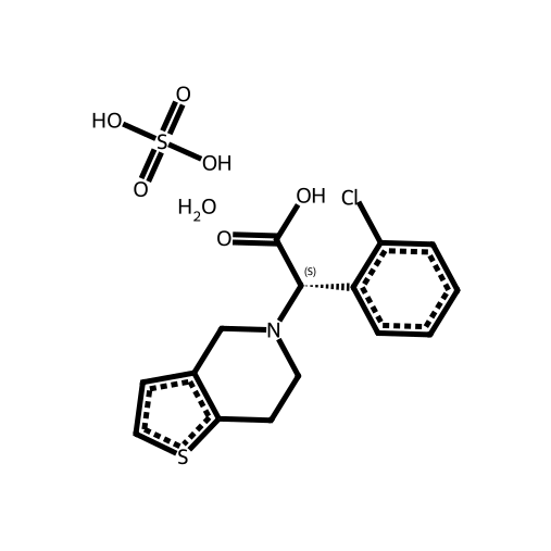 O.O=C(O)[C@H](c1ccccc1Cl)N1CCc2sccc2C1.O=S(=O)(O)O